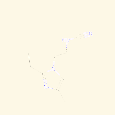 CCc1nc(C)cn1CCNC#N